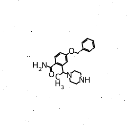 CC(c1cc(OCc2ccccc2)ccc1C(N)=O)N1CCNCC1